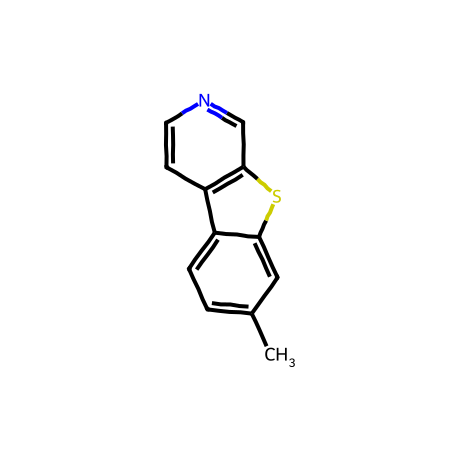 Cc1ccc2c(c1)sc1cnccc12